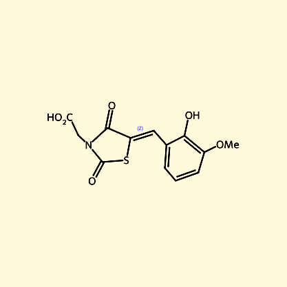 COc1cccc(/C=C2\SC(=O)N(CC(=O)O)C2=O)c1O